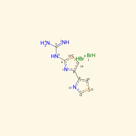 Br.Br.N=C(N)Nc1nc(-c2cscn2)cs1